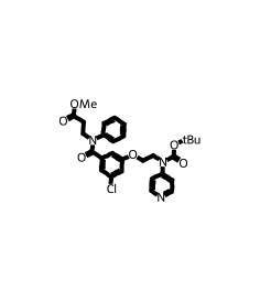 COC(=O)CCN(C(=O)c1cc(Cl)cc(OCCN(C(=O)OC(C)(C)C)c2ccncc2)c1)c1ccccc1